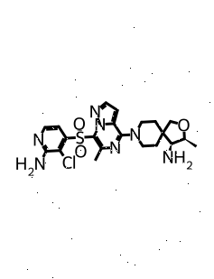 Cc1nc(N2CCC3(CC2)CO[C@@H](C)[C@H]3N)c2ccnn2c1S(=O)(=O)c1ccnc(N)c1Cl